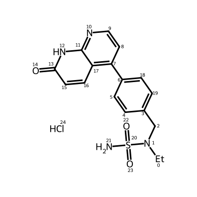 CCN(Cc1ccc(-c2ccnc3[nH]c(=O)ccc23)cc1)S(N)(=O)=O.Cl